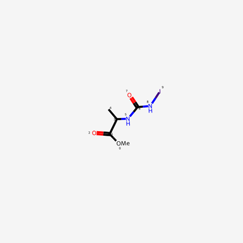 COC(=O)C(C)NC(=O)NI